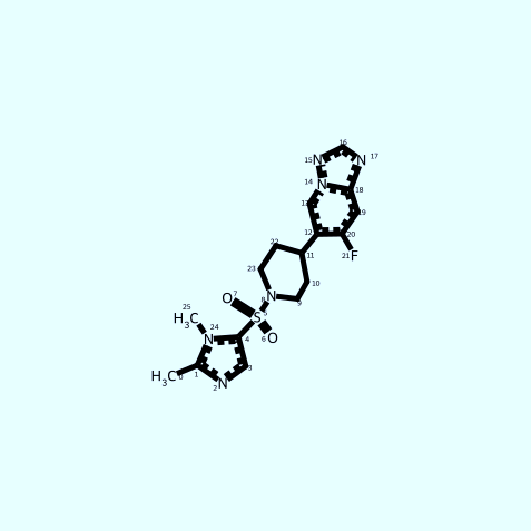 Cc1ncc(S(=O)(=O)N2CCC(c3cn4ncnc4cc3F)CC2)n1C